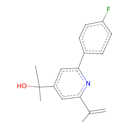 C=C(C)c1cc(C(C)(C)O)cc(-c2ccc(F)cc2)n1